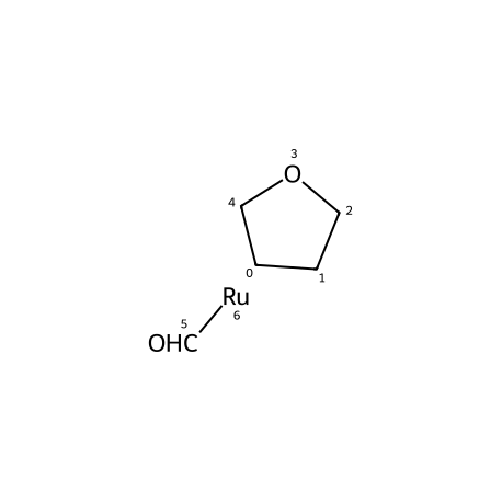 C1CCOC1.O=[CH][Ru]